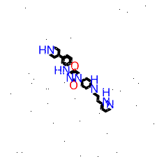 O=c1nc2c(cn1C1CCC(NCCCC3=CCC=NN3)CC1)Oc1ccc(C3CCNCC3)cc1N2